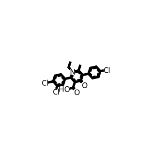 CCn1c(C)c(-c2ccc(Cl)cc2)c(=O)c(C(=O)O)c1-c1ccc(Cl)c(Cl)c1